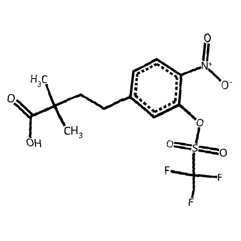 CC(C)(CCc1ccc([N+](=O)[O-])c(OS(=O)(=O)C(F)(F)F)c1)C(=O)O